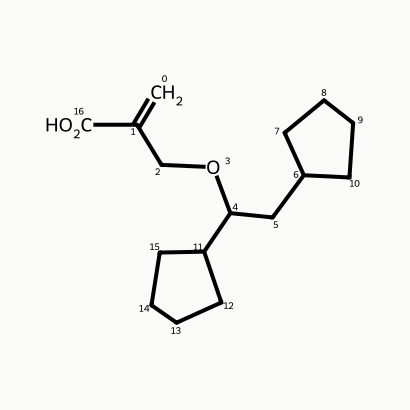 C=C(COC(CC1CCCC1)C1CCCC1)C(=O)O